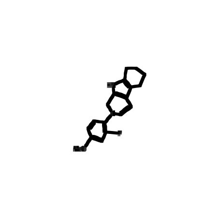 COc1ccc(N2C=Cc3c([nH]c4c3CCCC4)C2)c(F)c1